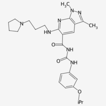 Cc1nn(C)c2nc(NCCCN3CCCC3)c(C(=O)NC(=O)Nc3cccc(OC(C)C)c3)cc12